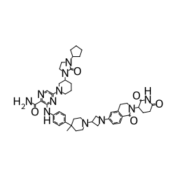 CC1(c2ccc(Nc3nc(N4CCCC(N5CCN(C6CCCC6)C5=O)C4)cnc3C(N)=O)cc2)CCN(C2CN(c3ccc4c(c3)CCN(C3CCC(=O)NC3=O)C4=O)C2)CC1